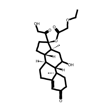 CCOCC(=O)O[C@]1(C(=O)CO)CC[C@H]2[C@@H]3CCC4=CC(=O)CC[C@]4(C)[C@H]3C(O)C[C@@]21C